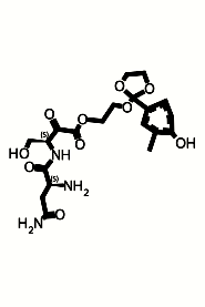 Cc1cc(C2(OCCOC(=O)C(=O)[C@H](CO)NC(=O)[C@@H](N)CC(N)=O)OCCO2)ccc1O